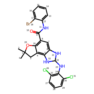 CC1(C)Cc2c3c(cc(C(=O)Nc4ccccc4Br)c2O1)NC(Nc1c(Cl)cccc1Cl)N3